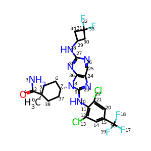 C[C@]1(C(N)=O)CC[C@H](n2c(Nc3c(Cl)cc(C(F)(F)F)cc3Cl)nc3cnc(NC4CC(F)(F)C4)nc32)CC1